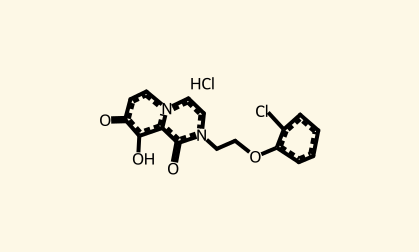 Cl.O=c1ccn2ccn(CCOc3ccccc3Cl)c(=O)c2c1O